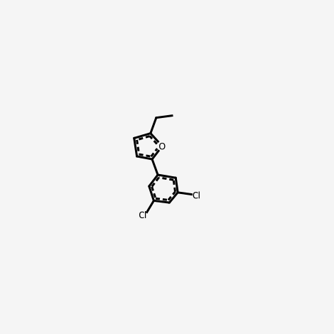 CCc1ccc(-c2cc(Cl)cc(Cl)c2)o1